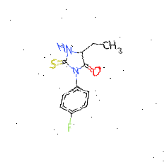 CCC1NC(=S)N(c2ccc(F)cc2)C1=O